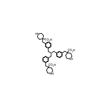 O=C(O)C1(Cc2cccc(CN(Cc3cccc(CC4(C(=O)O)CCNCC4)c3)Cc3cccc(CC4(C(=O)O)CCNCC4)c3)c2)CCNCC1